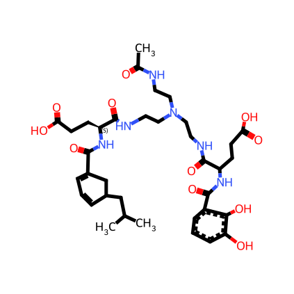 CC(=O)NCCN(CCNC(=O)C(CCC(=O)O)NC(=O)c1cccc(O)c1O)CCNC(=O)[C@H](CCC(=O)O)NC(=O)C1=CC=CC(CC(C)C)C1